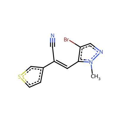 Cn1ncc(Br)c1/C=C(\C#N)c1ccsc1